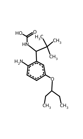 CCC(CC)Oc1ccc(N)c(C(NC(=O)O)C(C)(C)C)c1